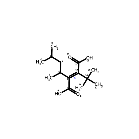 CC(C)CC(C)/C(C(=O)O)=C(\C(=O)O)C(C)(C)C